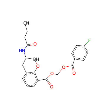 N#CCCC(=O)NC1BOc2c(cccc2C(=O)OCOC(=O)c2ccc(F)cc2)C1